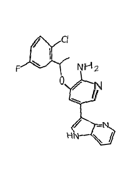 CC(Oc1cc(-c2c[nH]c3cccnc23)cnc1N)c1cc(F)ccc1Cl